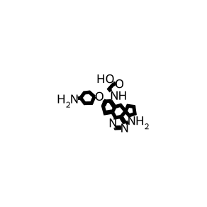 Nc1ncnc2c1C1(CCCC1)Cc1c-2ccc(OC2CCC(N)CC2)c1NCC(=O)O